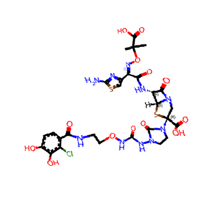 CC(C)(O/N=C(\C(=O)N[C@@H]1C(=O)N2C[C@@](C(=O)O)(N3CCN(NC(=O)NOCCNC(=O)c4ccc(O)c(O)c4Cl)C3=O)S[C@H]12)c1csc(N)n1)C(=O)O